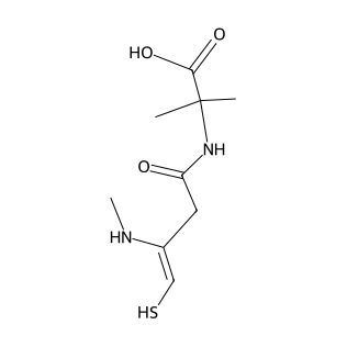 CN/C(=C\S)CC(=O)NC(C)(C)C(=O)O